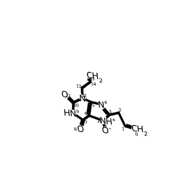 C=CCC1=Nc2c(c(=O)[nH]c(=O)n2CC=C)[NH+]1[O-]